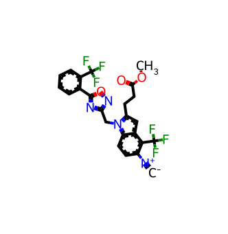 [C-]#[N+]c1ccc2c(cc(CCC(=O)OC)n2Cc2noc(-c3ccccc3C(F)(F)F)n2)c1C(F)(F)F